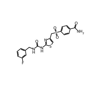 NC(=O)c1ccc(S(=O)(=O)Cc2csc(NC(=O)NCc3cccc(F)c3)n2)cc1